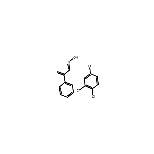 O=C(C=NO)c1ccccc1.[O]c1ccc(Cl)c(Cl)c1